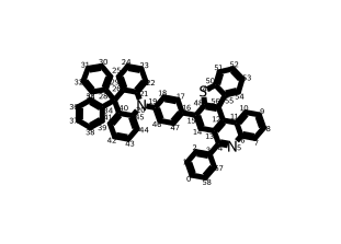 c1ccc(-c2nc3ccccc3c3c2cc(-c2ccc(N4c5ccccc5C(c5ccccc5)(c5ccccc5)c5ccccc54)cc2)c2sc4ccccc4c23)cc1